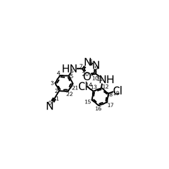 N#Cc1ccc(Nc2nnc(Nc3c(Cl)cccc3Cl)o2)cc1